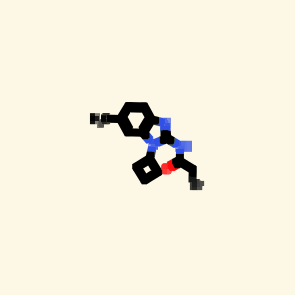 Cc1ccc2nc(NC(=O)CC(C)C)n(C3CCC3)c2c1